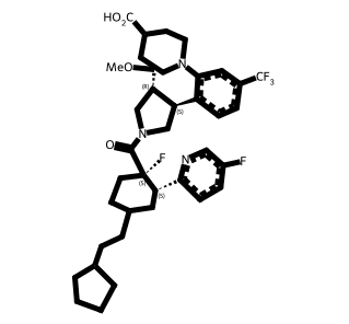 COC[C@H]1CN(C(=O)[C@]2(F)CCC(CCC3CCCC3)C[C@H]2c2ccc(F)cn2)C[C@@H]1c1ccc(C(F)(F)F)cc1N1CCC(C(=O)O)CC1